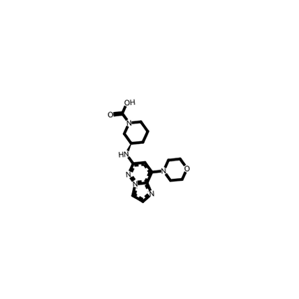 O=C(O)N1CCC[C@@H](Nc2cc(N3CCOCC3)c3nccn3n2)C1